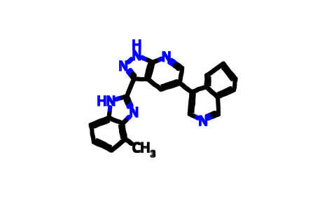 Cc1cccc2[nH]c(-c3n[nH]c4ncc(-c5cncc6ccccc56)cc34)nc12